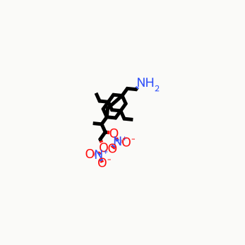 CCC12CC3(CC)CC(CCN)(C1)CC(C(C)C(CO[N+](=O)[O-])O[N+](=O)[O-])(C2)C3